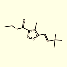 CCOC(=O)c1noc(/C=C/C(C)(C)C)c1C